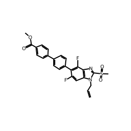 C=CCn1c(S(C)(=O)=O)nc2c(F)c(-c3ccc(-c4ccc(C(=O)OC)cc4)cc3)c(F)cc21